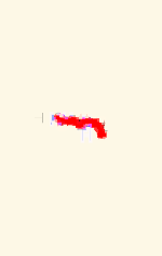 CCOC(=O)c1cc2cc(-c3ccnc(C(=O)NCc4ccc(C(=O)OCc5ccccc5)cc4)c3)ccc2[nH]1